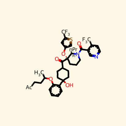 CCC[C@H]1N(C(=O)c2cnccc2C(F)(F)F)CCC[C@@]1(Oc1csc(C(F)(F)F)c1)C(=O)C1CCC(O)(c2ccccc2OC(C)CCC(C)=O)CC1